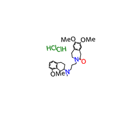 COc1cc2c(cc1OC)CC(=O)N(CCCN(C)C1CCc3cccc(OC)c3C1)CC2.Cl.Cl